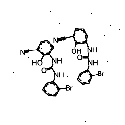 N#Cc1cccc(NC(=O)Nc2ccccc2Br)c1O.N#Cc1cccc(NC(=O)Nc2ccccc2Br)c1O